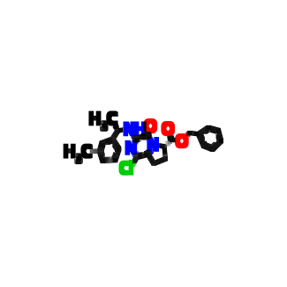 Cc1cccc([C@@H](C)Nc2nc(Cl)c3n(c2=O)[C@H](C(=O)OCc2ccccc2)CC3)c1